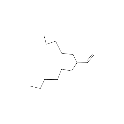 C=CC([CH]CCCCC)CCCCC